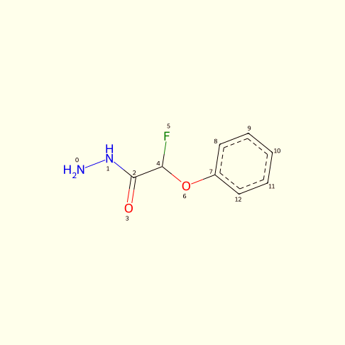 NNC(=O)C(F)Oc1ccccc1